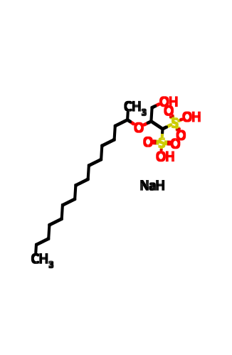 CCCCCCCCCCCCCCC(C)OC(CO)C(S(=O)(=O)O)S(=O)(=O)O.[NaH]